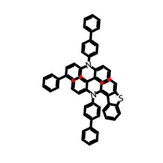 c1ccc(-c2ccc(N(c3ccc(-c4ccccc4)cc3)c3ccccc3-c3ccccc3N(c3ccc(-c4ccccc4)cc3)c3cccc4sc5ccccc5c34)cc2)cc1